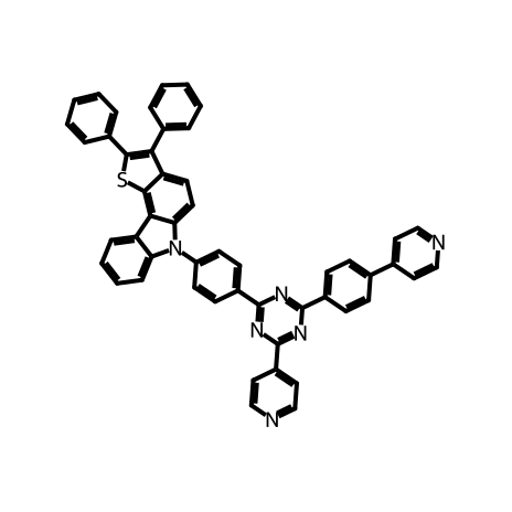 c1ccc(-c2sc3c(ccc4c3c3ccccc3n4-c3ccc(-c4nc(-c5ccncc5)nc(-c5ccc(-c6ccncc6)cc5)n4)cc3)c2-c2ccccc2)cc1